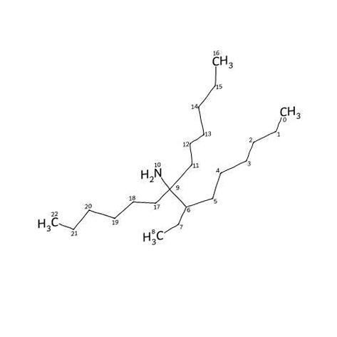 CCCCCCC(CC)C(N)(CCCCCC)CCCCCC